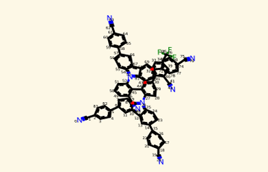 N#Cc1ccc(-c2ccc3c(c2)c2cc(-c4ccc(C#N)cc4)ccc2n3-c2ccc(-c3ccc(C(F)(F)F)cc3C#N)cc2-c2c(C#N)cccc2-n2c3ccc(-c4ccc(C#N)cc4)cc3c3cc(-c4ccc(C#N)cc4)ccc32)cc1